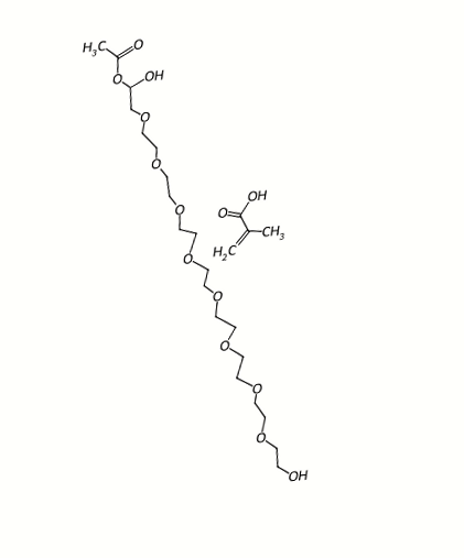 C=C(C)C(=O)O.CC(=O)OC(O)COCCOCCOCCOCCOCCOCCOCCOCCO